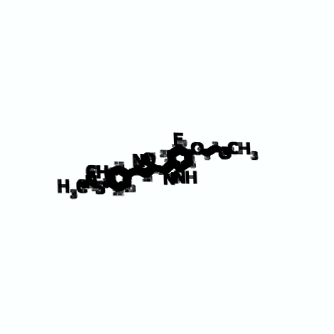 COCCOc1cc2[nH]nc(-c3cc(-c4ccc(SN(C)C)cc4)no3)c2cc1F